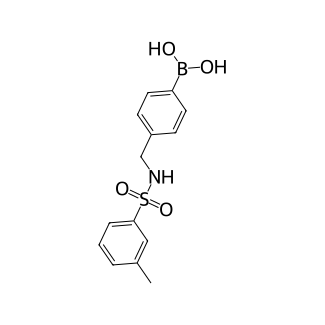 Cc1cccc(S(=O)(=O)NCc2ccc(B(O)O)cc2)c1